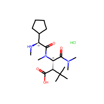 CN[C@H](C(=O)N(C)[C@H](C(=O)N(C)C)C(C(=O)O)C(C)(C)C)C1CCCC1.Cl